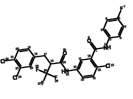 O=C(Nc1ccc(F)cc1)c1cc(NC(=O)C(Cc2ccc(Cl)c(Cl)c2)C(F)(F)F)ccc1Cl